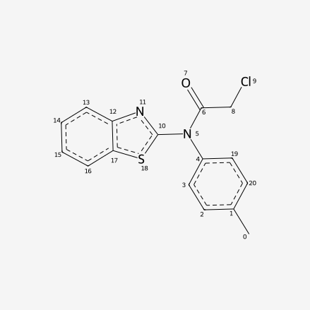 Cc1ccc(N(C(=O)CCl)c2nc3ccccc3s2)cc1